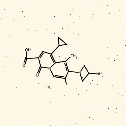 Cc1c(N2CC(N)C2)c(F)cn2c(=O)c(C(=O)O)cc(C3CC3)c12.Cl